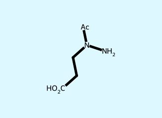 CC(=O)N(N)CCC(=O)O